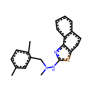 Cc1ccc(C)c(CN(C)Nc2nc3c(ccc4ccccc43)s2)c1